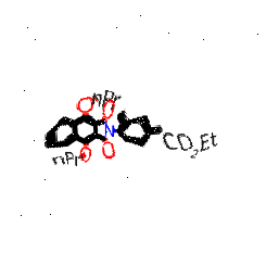 CCCOc1c2c(c(OCCC)c3ccccc13)C(=O)N(c1ccc(CC(=O)OCC)cc1C)C2=O